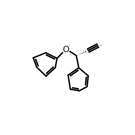 [C]#C[C@@H](Oc1ccccc1)c1ccccc1